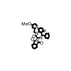 COc1ccnc(CN2C(=O)C(N3C(=O)c4ccccc4C3=O)N=C(c3ccccc3F)c3ccccc32)c1